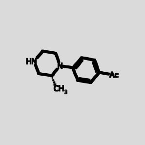 CC(=O)c1ccc(N2CCNC[C@H]2C)cc1